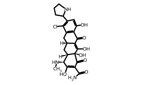 CN[C@@H]1C(O)=C(C(N)=O)C(=O)[C@@]2(O)C(O)=C3C(=O)c4c(O)cc(C5CCCN5)c(Cl)c4C[C@H]3C[C@@H]12